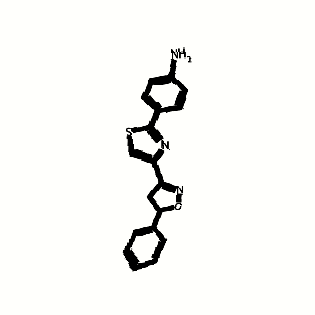 Nc1ccc(-c2nc(C3=NOC(c4ccccc4)C3)cs2)cc1